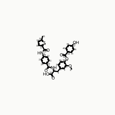 COc1cc(CC(NC(=O)c2ccc(NC(=O)c3ccc(C)s3)cc2)C(=O)O)ccc1OC(=O)c1ccc(O)cc1